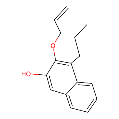 C=CCOc1c(O)cc2ccccc2c1CCC